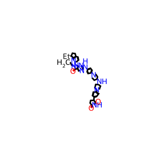 C=CCn1c(=O)c2cnc(Nc3ccc(N4CCC(NC5CCN(c6ccc(C7CCC(=O)NC7=O)cc6)CC5)CC4)cc3)nc2n1-c1ccc2c(n1)C(CC)CC2